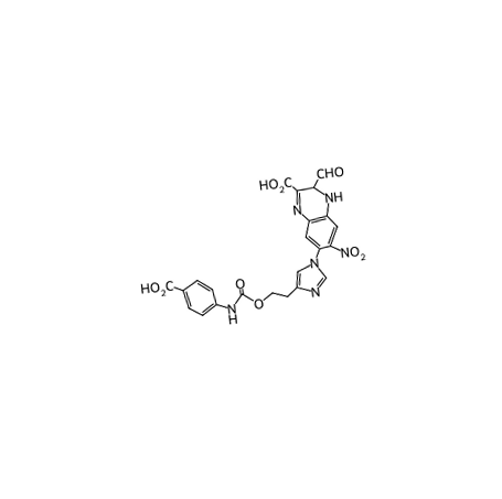 O=CC1Nc2cc([N+](=O)[O-])c(-n3cnc(CCOC(=O)Nc4ccc(C(=O)O)cc4)c3)cc2N=C1C(=O)O